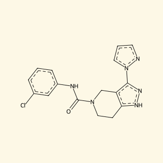 O=C(Nc1cccc(Cl)c1)N1CCc2[nH]nc(-n3cccn3)c2C1